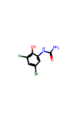 NC(=O)Nc1cc(Br)cc(F)c1O